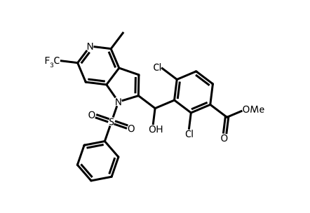 COC(=O)c1ccc(Cl)c(C(O)c2cc3c(C)nc(C(F)(F)F)cc3n2S(=O)(=O)c2ccccc2)c1Cl